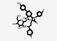 O=C1C(CCC(O)c2ccc(F)cc2)C(c2ccc(-c3ccc(O)cc3)cc2S(=O)(=O)CC2OC(CO)C(O)C(O)C2O)N1c1ccc(F)cc1